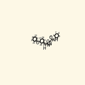 O=C(Nc1ccccc1)c1nnc(Nc2cccc(Oc3ccccc3)c2)o1